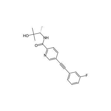 C[C@H](NC(=O)c1ccc(C#Cc2cccc(F)c2)cn1)C(C)(C)O